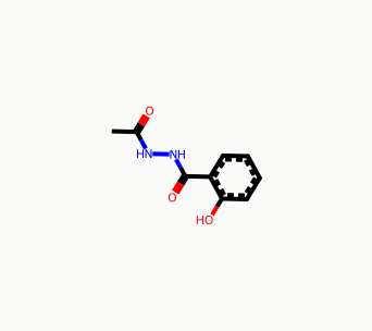 CC(=O)NNC(=O)c1ccccc1O